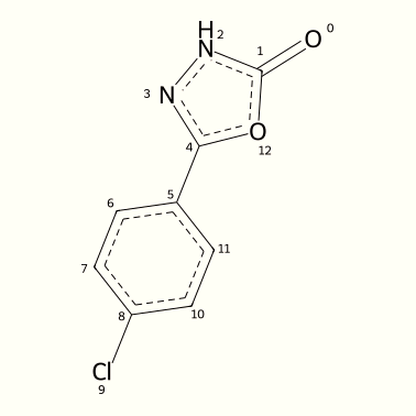 O=c1[nH]nc(-c2ccc(Cl)cc2)o1